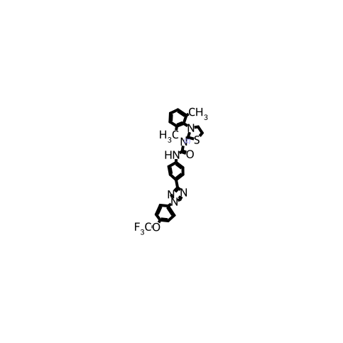 Cc1cccc(C)c1N1CCS/C1=N\C(=O)Nc1ccc(-c2ncn(-c3ccc(OC(F)(F)F)cc3)n2)cc1